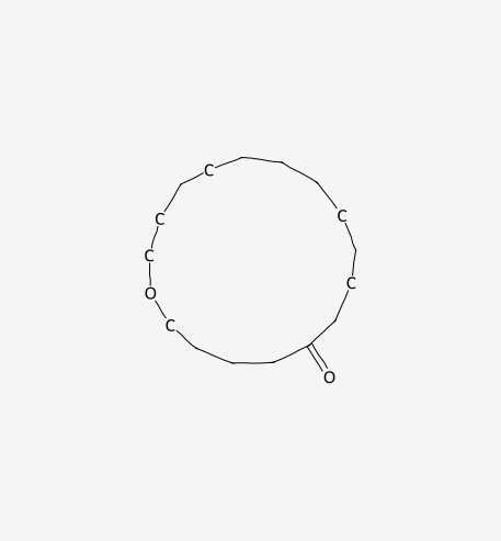 O=C1CCCCCCCCCCCOCCCC1